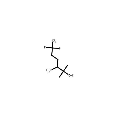 CC(C)(O)C(N)CCC(F)(F)C(F)(F)F